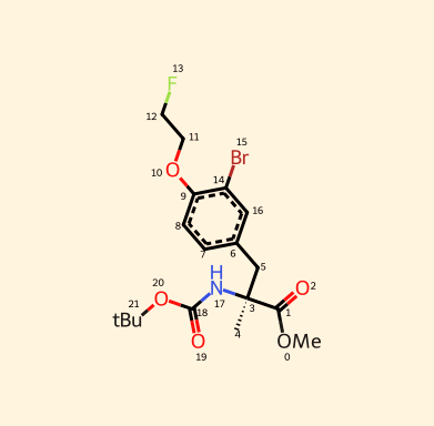 COC(=O)[C@](C)(Cc1ccc(OCCF)c(Br)c1)NC(=O)OC(C)(C)C